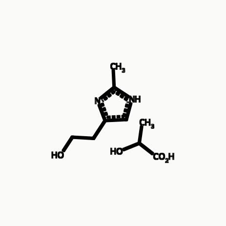 CC(O)C(=O)O.Cc1nc(CCO)c[nH]1